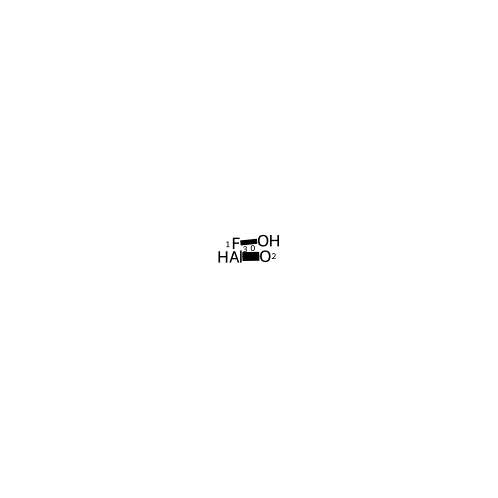 OF.[O]=[AlH]